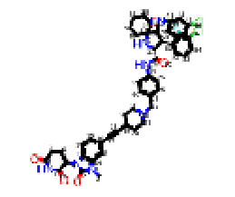 Cn1c(=O)n(C2CCC(=O)NC2=O)c2ccc(C#CC3CCN(Cc4ccc(NC(=O)[C@@H]5NC6(CCCCC6)[C@@]6(C(=O)Nc7cc(Cl)ccc76)[C@H]5c5cccc(Cl)c5F)cc4)CC3)cc21